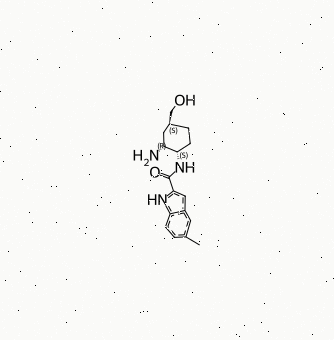 Cc1ccc2[nH]c(C(=O)N[C@H]3CC[C@H](CO)C[C@H]3N)cc2c1